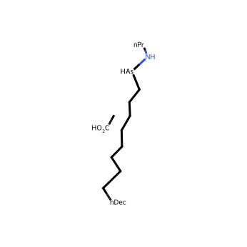 CC(=O)O.CCCCCCCCCCCCCCCCCC[AsH]NCCC